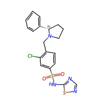 O=S(=O)(Nc1ncns1)c1ccc(CN2CCC[C@H]2c2ccccc2)c(Cl)c1